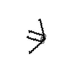 CC(C)CCCCCCCCCCCC(CCCCCCCCCCC(C)C)OC(=O)/C=C\C(=O)OC(CCCCCCCCCCCC(C)C)CCCCCCCCCCC(C)C